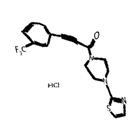 Cl.O=C(C#Cc1cccc(C(F)(F)F)c1)N1CCN(c2nccs2)CC1